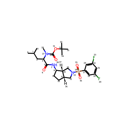 CC(C)CC(C(=O)N[C@@H]1CC[C@H]2CN(S(=O)(=O)c3cc(F)cc(F)c3)C[C@H]21)N(C)C(=O)OC(C)(C)C